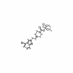 CC(C)(C)OC(=O)N1CCN(CCn2cc3c(Br)cccc3n2)CC1